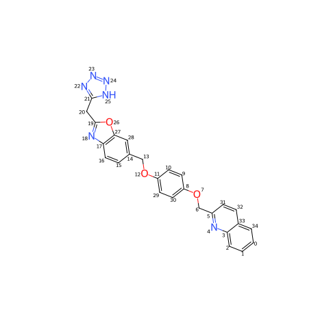 c1ccc2nc(COc3ccc(OCc4ccc5nc(Cc6nnn[nH]6)oc5c4)cc3)ccc2c1